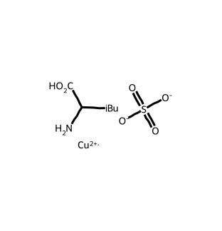 CCC(C)C(N)C(=O)O.O=S(=O)([O-])[O-].[Cu+2]